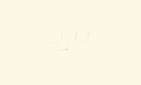 CCn1c(C)c(Cl)c(=O)n1-c1ccc(Cl)cc1